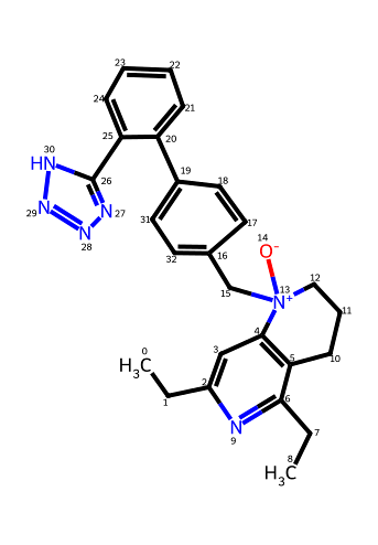 CCc1cc2c(c(CC)n1)CCC[N+]2([O-])Cc1ccc(-c2ccccc2-c2nnn[nH]2)cc1